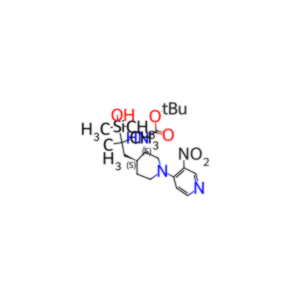 CC(C)(C)OC(=O)N[C@@H]1CN(c2ccncc2[N+](=O)[O-])CC[C@H]1CC(C)(C)[Si](C)(C)O